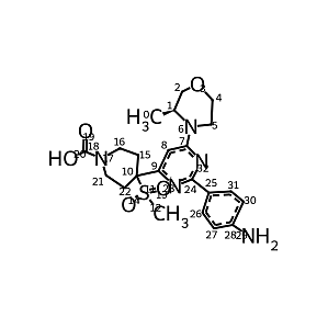 C[C@H]1COCCN1c1cc(C2(S(C)(=O)=O)CCN(C(=O)O)CC2)nc(-c2ccc(N)cc2)n1